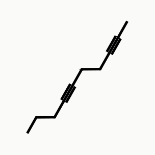 CC#CC[CH]C#CCCC